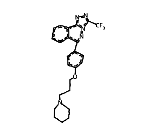 FC(F)(F)c1nnc2c3ccccc3c(-c3ccc(OCCCN4CCCCC4)cc3)nn12